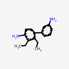 CCc1c(N)ccc(-c2cccc(N)c2)c1CC